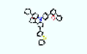 c1ccc(-c2ccc(N(c3ccc(-c4cccc5c4oc4ccccc45)cc3)c3ccc(-c4ccc5c(c4)sc4ccccc45)cc3-c3ccccc3)cc2)cc1